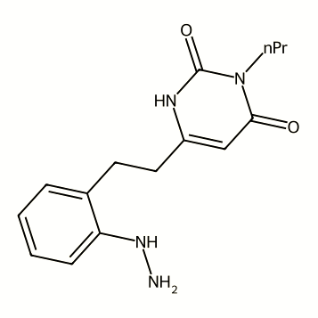 CCCn1c(=O)cc(CCc2ccccc2NN)[nH]c1=O